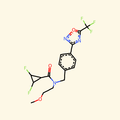 COCCN(Cc1ccc(-c2noc(C(F)(F)F)n2)cc1)C(=O)C1C(F)C1F